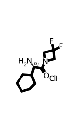 Cl.N[C@H](C(=O)N1CC(F)(F)C1)C1CCCCC1